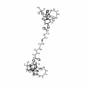 CC(C)(C)OC(=O)N[C@H]1[C@H]2CCCCC[C@]1(C)c1cc(OC(=O)CCCCCCCCCCC(=O)Oc3cc(F)c4c(c3)[C@@]3(C)CCCCC[C@@H](C4)[C@@H]3NC(=O)OC(C)(C)C)cc(F)c1C2